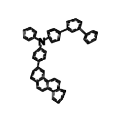 c1ccc(-c2cccc(-c3ccc(N(c4ccccc4)c4ccc(-c5ccc6ccc7c8ccccc8ccc7c6c5)cc4)cc3)c2)cc1